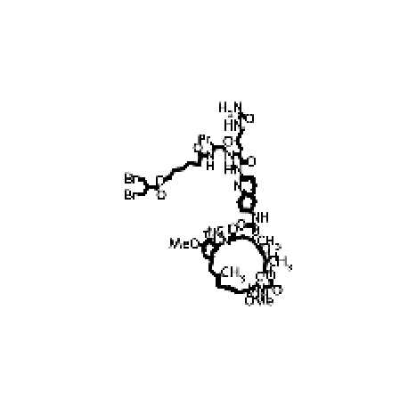 COc1cc2cc(c1Cl)N(C)C(=O)C[C@H](OC(=O)Nc1ccc3nc(NC(=O)[C@H](CCCNC(N)=O)NC(=O)[C@@H](NC(=O)CCCCCOC(=O)C(CBr)CBr)C(C)C)ccc3c1)[C@]1(C)O[C@H]1[C@H](C)[C@@H]1C[C@@](O)(NC(=O)O1)[C@H](OC)/C=C/C=C(\C)C2